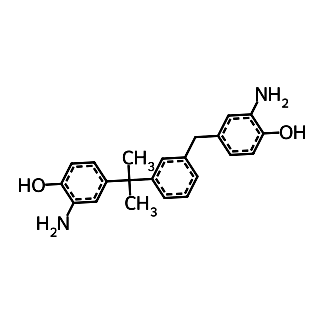 CC(C)(c1cccc(Cc2ccc(O)c(N)c2)c1)c1ccc(O)c(N)c1